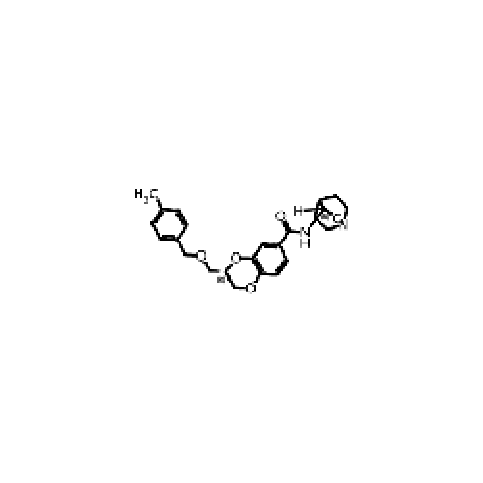 Cc1ccc(COC[C@@H]2COc3ccc(C(=O)N[C@H]4CN5CCC4CC5)cc3O2)cc1